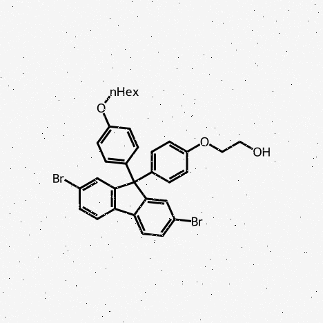 CCCCCCOc1ccc(C2(c3ccc(OCCO)cc3)c3cc(Br)ccc3-c3ccc(Br)cc32)cc1